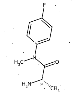 C[C@H](N)C(=O)N(C)c1ccc(F)cc1